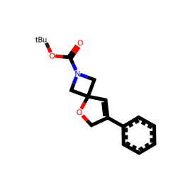 CC(C)(C)OC(=O)N1CC2(C=C(c3ccccc3)CO2)C1